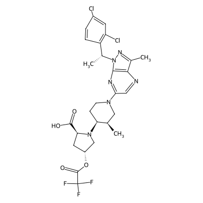 Cc1nn([C@H](C)c2ccc(Cl)cc2Cl)c2nc(N3CC[C@H](N4C[C@H](OC(=O)C(F)(F)F)C[C@H]4C(=O)O)[C@H](C)C3)cnc12